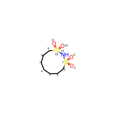 O=S1(=O)CCCCCCCS(=O)(=O)N1